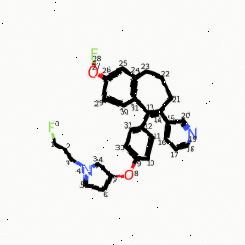 FCCCN1CC[C@H](Oc2ccc(C3=C(c4cccnc4)CCCc4cc(OF)ccc43)cc2)C1